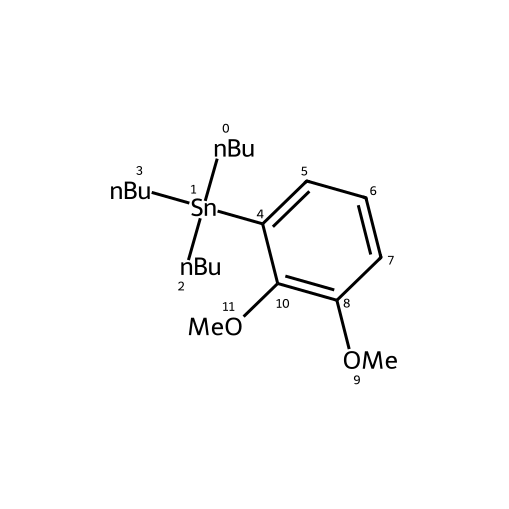 CCC[CH2][Sn]([CH2]CCC)([CH2]CCC)[c]1cccc(OC)c1OC